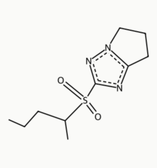 CCCC(C)S(=O)(=O)c1nc2n(n1)CCC2